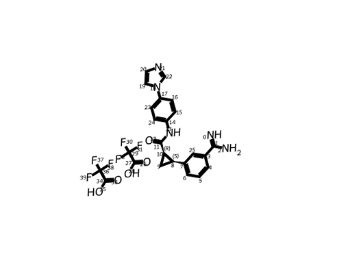 N=C(N)c1cccc([C@H]2C[C@H]2C(=O)Nc2ccc(-n3ccnc3)cc2)c1.O=C(O)C(F)(F)F.O=C(O)C(F)(F)F